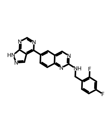 Fc1ccc(CNc2ncc3cc(-c4ncnc5[nH]ncc45)ccc3n2)c(F)c1